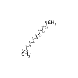 [CH2]CCCCC=CCCCCCC=CCCC